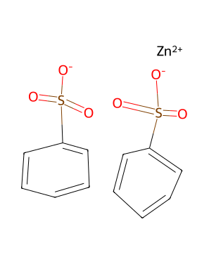 O=S(=O)([O-])c1ccccc1.O=S(=O)([O-])c1ccccc1.[Zn+2]